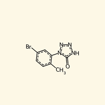 Cc1ccc(Br)cc1-n1nn[nH]c1=O